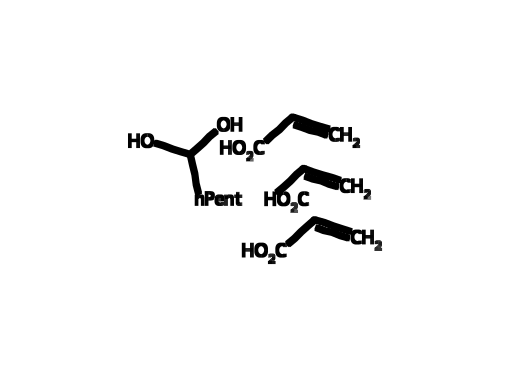 C=CC(=O)O.C=CC(=O)O.C=CC(=O)O.CCCCCC(O)O